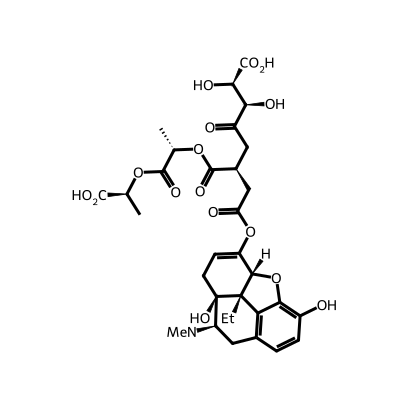 CC[C@]12c3c4ccc(O)c3O[C@H]1C(OC(=O)C[C@H](CC(=O)[C@H](O)[C@@H](O)C(=O)O)C(=O)O[C@@H](C)C(=O)O[C@@H](C)C(=O)O)=CC[C@@]2(O)[C@H](NC)C4